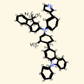 CC1C=C(N(c2cccc(C3=CC=[N+]=C3)c2)c2ccc3c(c2)C(C)(C)c2ccccc2-3)CCC1C1C=Cc2c(c3ccccc3n2-c2ccccc2)C1